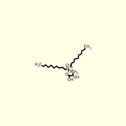 CC(O)C(=O)O.CCCCCCCCCC[N+](C)(C)CCCCCCCCCC